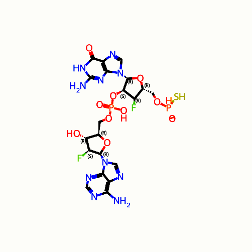 Nc1nc2c(ncn2[C@@H]2O[C@H](CO[PH](=O)S)[C@@H](F)[C@H]2OP(=O)(O)OC[C@H]2O[C@@H](n3cnc4c(N)ncnc43)[C@@H](F)[C@@H]2O)c(=O)[nH]1